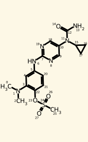 CN(C)c1cc(Nc2ncc(N(C(N)=O)C3CC3)cn2)ccc1OS(C)(=O)=O